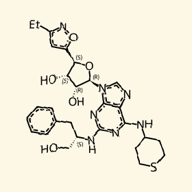 CCc1cc([C@H]2O[C@@H](n3cnc4c(NC5CCSCC5)nc(N[C@H](CO)Cc5ccccc5)nc43)[C@H](O)[C@@H]2O)on1